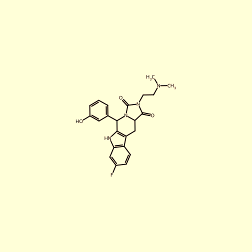 CN(C)CCN1C(=O)C2Cc3c([nH]c4cc(F)ccc34)C(c3cccc(O)c3)N2C1=O